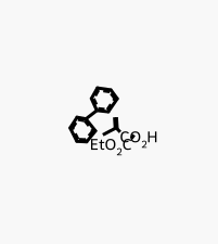 C=C(C)C(=O)O.CCOC(C)=O.c1ccc(-c2ccccc2)cc1